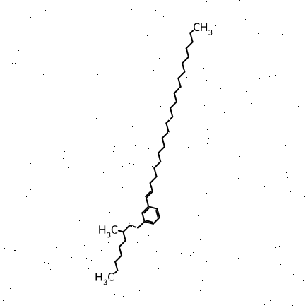 CCCCCCCCCCCCCCCCCCCCCCC=Cc1cccc(C[CH]C(C)CCCCCC)c1